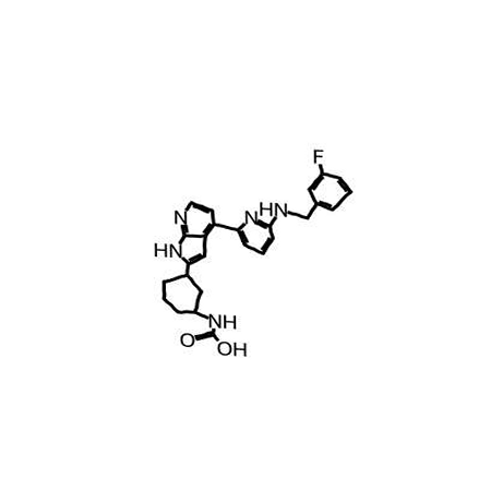 O=C(O)NC1CCCC(c2cc3c(-c4cccc(NCc5cccc(F)c5)n4)ccnc3[nH]2)C1